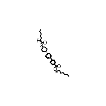 CCCCCC[C@@H](C)OC(=O)c1ccc(-c2ccc([C@H]3CC[C@H](OC(=O)[C@@H](F)CCCCC)CC3)cc2)cc1